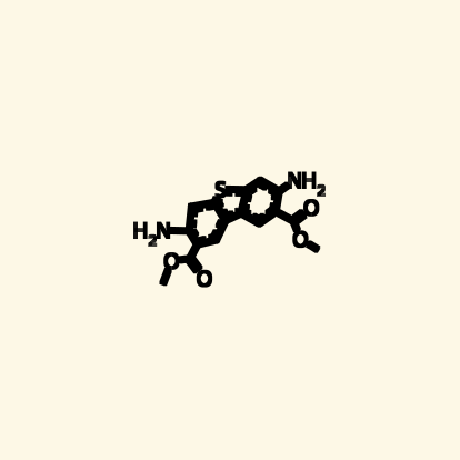 COC(=O)c1cc2c(cc1N)sc1cc(N)c(C(=O)OC)cc12